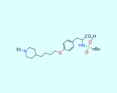 CCCCS(=O)(=O)NC(Cc1ccc(OCCCCC2CCN(CC)CC2)cc1)C(=O)O